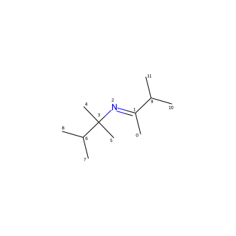 C/C(=N\C(C)(C)C(C)C)C(C)C